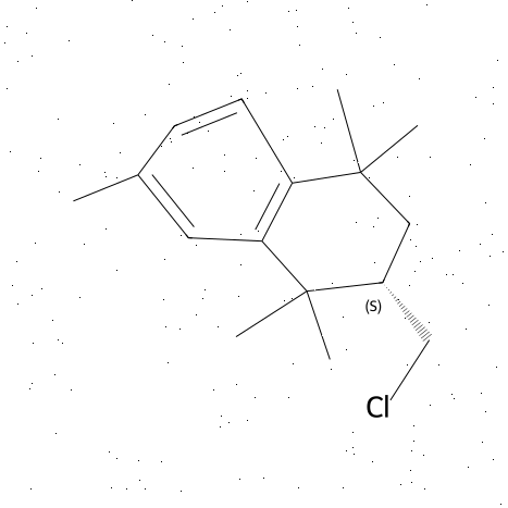 Cc1ccc2c(c1)C(C)(C)[C@@H](CCl)CC2(C)C